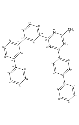 Cc1nc(-c2ccc(-c3ccccc3)cc2)nc(-c2cccc(-c3cccc(-c4ccccc4)c3)c2)n1